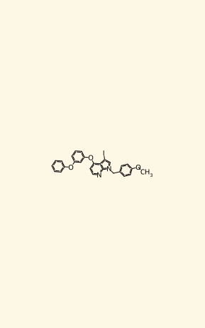 COc1ccc(Cn2cc(I)c3c(Oc4cccc(Oc5ccccc5)c4)ccnc32)cc1